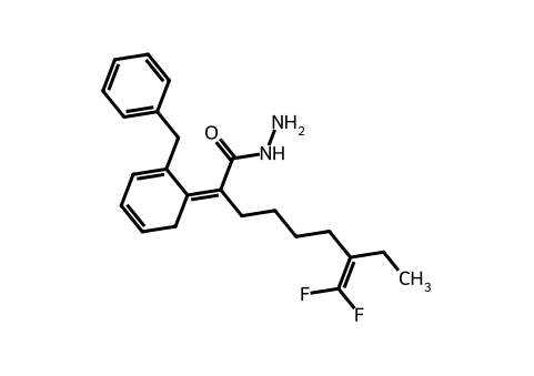 CCC(CCCCC(C(=O)NN)=C1CC=CC=C1Cc1ccccc1)=C(F)F